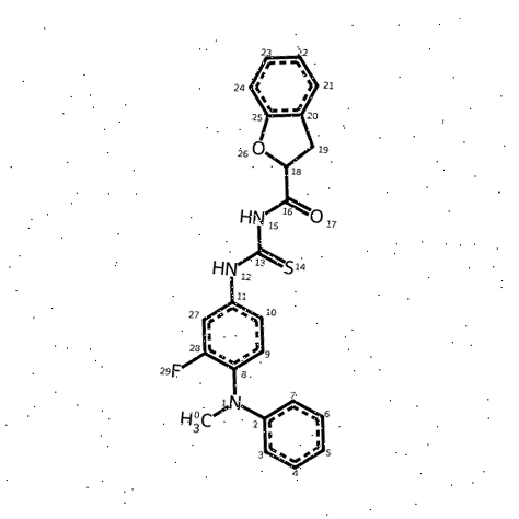 CN(c1ccccc1)c1ccc(NC(=S)NC(=O)C2Cc3ccccc3O2)cc1F